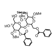 CCCCO[C@@H]1C(OC(=O)c2ccccc2)C(O[C@@H]2C(COC(=O)c3ccccc3)O[C@H](OC)C(N=[N+]=[N-])[C@H]2OCCCC)OC(CO)[C@H]1O